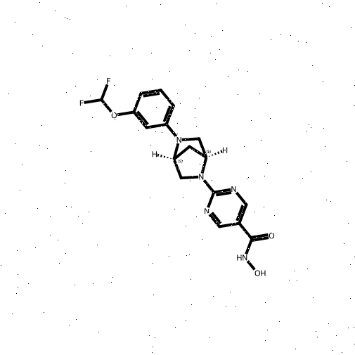 O=C(NO)c1cnc(N2C[C@@H]3C[C@H]2CN3c2cccc(OC(F)F)c2)nc1